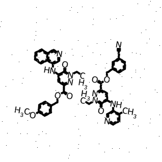 CCn1nc(C(=O)OCc2ccc(OC)cc2)cc(Nc2cncc3ccccc23)c1=O.CCn1nc(C(=O)OCc2cccc(C#N)c2)cc(Nc2cnccc2C)c1=O